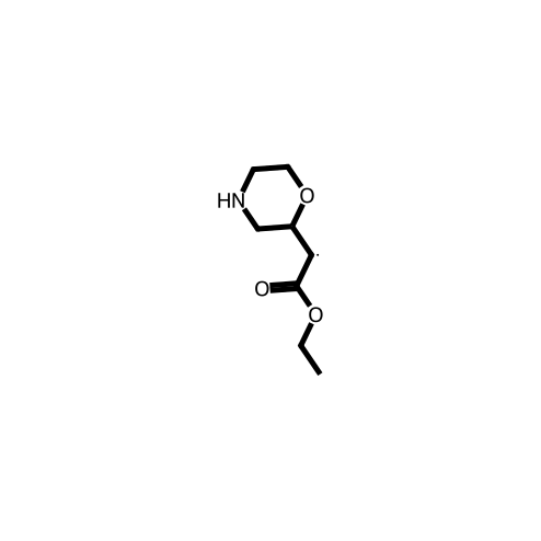 CCOC(=O)[CH]C1CNCCO1